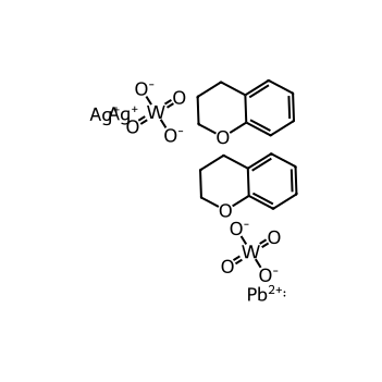 [Ag+].[Ag+].[O]=[W](=[O])([O-])[O-].[O]=[W](=[O])([O-])[O-].[Pb+2].c1ccc2c(c1)CCCO2.c1ccc2c(c1)CCCO2